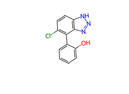 Oc1ccccc1-c1c(Cl)ccc2[nH]nnc12